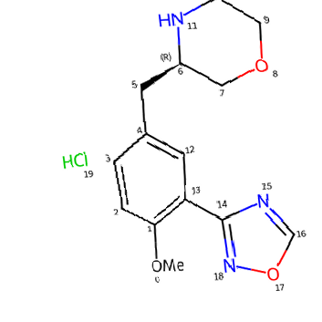 COc1ccc(C[C@@H]2COCCN2)cc1-c1ncon1.Cl